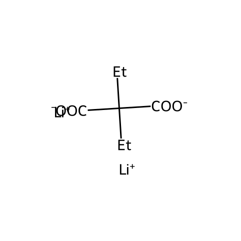 CCC(CC)(C(=O)[O-])C(=O)[O-].[Li+].[Li+]